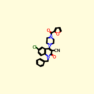 N#Cc1c(N2CCN(C(=O)c3ccco3)CC2)c2cc(Cl)ccc2n(Cc2ccccc2)c1=O